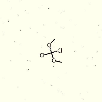 COC(Cl)(Cl)OC